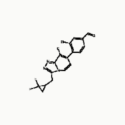 O=Cc1ccc(-c2ccn3c(CC4CC4(F)F)nnc3c2Cl)c(Cl)c1